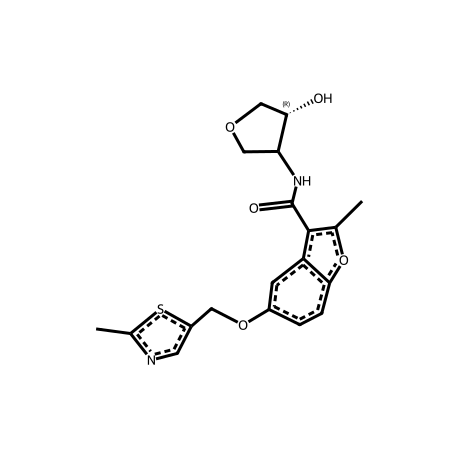 Cc1ncc(COc2ccc3oc(C)c(C(=O)NC4COC[C@@H]4O)c3c2)s1